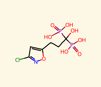 O=P(O)(O)C(O)(CCc1cc(Cl)no1)P(=O)(O)O